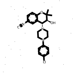 [C-]#[N+]c1ccc2c(c1)[C@@H](N1CCN(c3ccc(Cl)cc3)CC1)[C@H](O)C(C)(C)O2